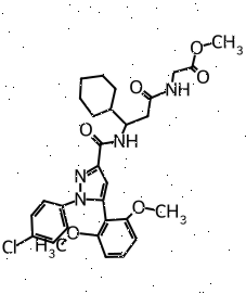 COC(=O)CNC(=O)CC(NC(=O)c1cc(-c2c(OC)cccc2OC)n(-c2ccc(Cl)cc2)n1)C1CCCCC1